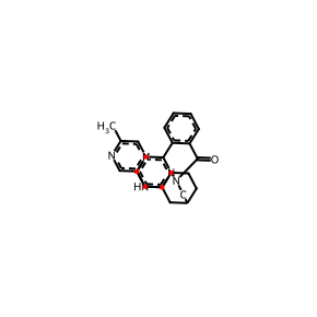 Cc1cnc(NC2CC3CCC2N(C(=O)c2ccccc2-c2ncccn2)C3)cn1